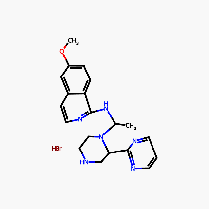 Br.COc1ccc2c(NC(C)N3CCNCC3c3ncccn3)nccc2c1